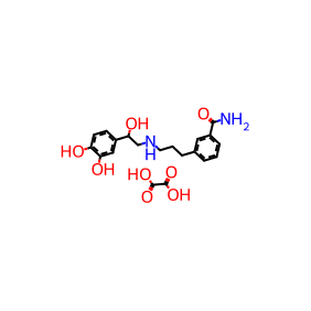 NC(=O)c1cccc(CCCNCC(O)c2ccc(O)c(O)c2)c1.O=C(O)C(=O)O